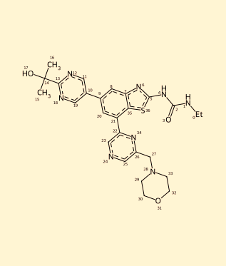 CCNC(=O)Nc1nc2cc(-c3cnc(C(C)(C)O)nc3)cc(-c3cncc(CN4CCOCC4)n3)c2s1